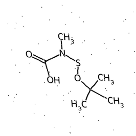 CN(SOC(C)(C)C)C(=O)O